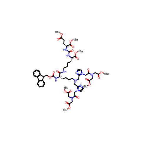 CC(C)(C)OC(=O)CC[C@H](NC(=O)N[C@@H](CCCCNC(=O)[C@H](CCCCN(Cc1nccn1CC(=O)N(CC(=O)OC(C)(C)C)CC(=O)OC(C)(C)C)Cc1nccn1CC(=O)N(CC(=O)OC(C)(C)C)CC(=O)OC(C)(C)C)NC(=O)OCC1c2ccccc2-c2ccccc21)C(=O)OC(C)(C)C)C(=O)OC(C)(C)C